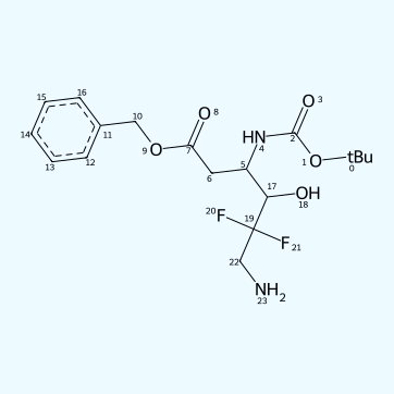 CC(C)(C)OC(=O)NC(CC(=O)OCc1ccccc1)C(O)C(F)(F)CN